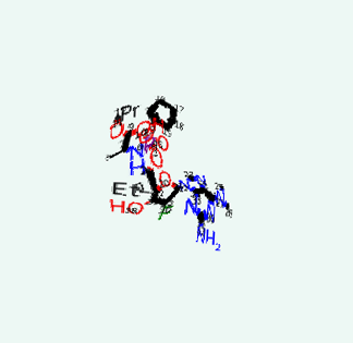 CC[C@]1(COP(=O)(N[C@@H](C)C(O)OC(C)C)Oc2ccccc2)O[C@@H](n2cnc3c(N(C)C)nc(N)nc32)[C@H](F)[C@@H]1O